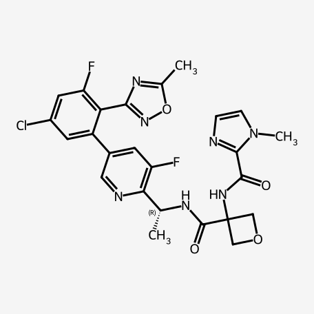 Cc1nc(-c2c(F)cc(Cl)cc2-c2cnc([C@@H](C)NC(=O)C3(NC(=O)c4nccn4C)COC3)c(F)c2)no1